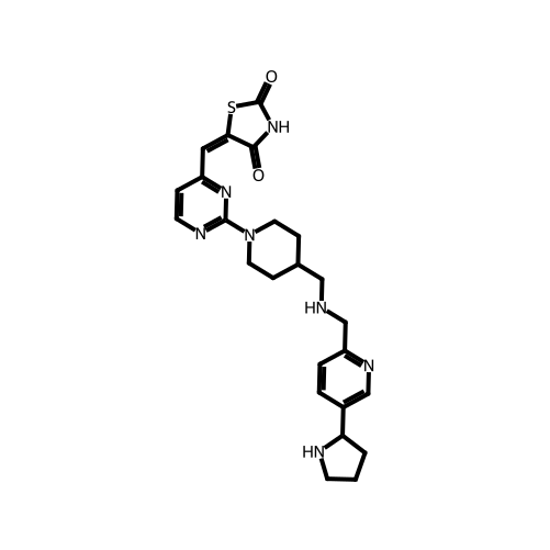 O=C1NC(=O)/C(=C\c2ccnc(N3CCC(CNCc4ccc(C5CCCN5)cn4)CC3)n2)S1